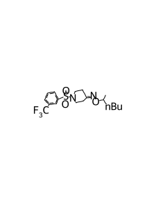 CCCCC(C)ON=C1CCN(S(=O)(=O)c2cccc(C(F)(F)F)c2)CC1